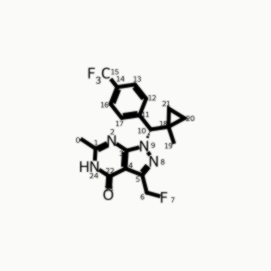 Cc1nc2c(c(CF)nn2[C@H](c2ccc(C(F)(F)F)cc2)C2(C)CC2)c(=O)[nH]1